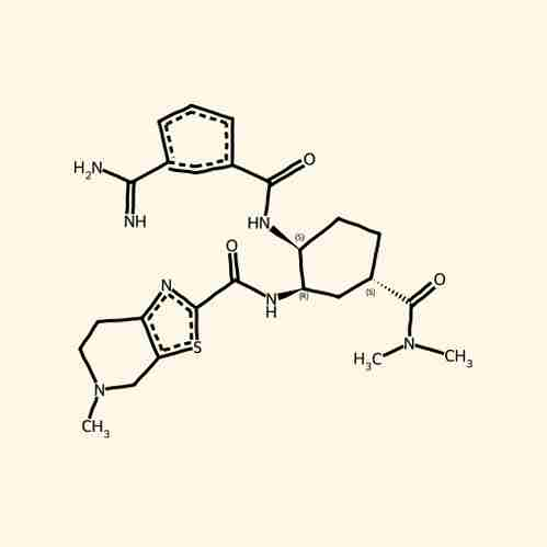 CN1CCc2nc(C(=O)N[C@@H]3C[C@@H](C(=O)N(C)C)CC[C@@H]3NC(=O)c3cccc(C(=N)N)c3)sc2C1